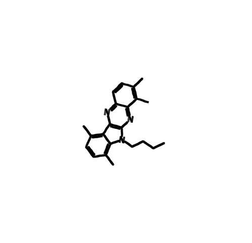 CCCCn1c2nc3c(C)c(C)ccc3nc2c2c(C)ccc(C)c21